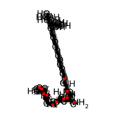 CCc1c2c(nc3ccc(OC(=O)N(C)CCN(C)C(=O)OCc4ccc(NC(=O)[C@H](CCCNC(N)=O)NC(=O)[C@@H](NC(=O)[C@@H](N)CCCCNC(=O)CCOCCOCCOCCOCCOCCOCCOCCOCCOCCOCCOCCOCCN(C[C@H](O)[C@@H](O)[C@H](O)[C@H](O)CO)C[C@H](O)[C@@H](O)[C@H](O)[C@H](O)CO)C(C)C)cc4)cc13)-c1cc3c(c(=O)n1C2)COC(=O)[C@]3(O)CC